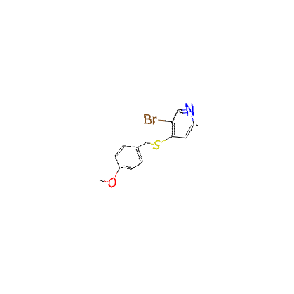 COc1ccc(CSc2c[c]ncc2Br)cc1